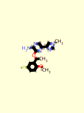 COc1ccc(F)cc1C(C)Oc1nc(-c2cn(C)cn2)cnc1N